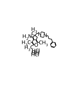 CC1=C(C)C2=C(N)C(C)(CN3CCN(CCCc4ccccc4)CC3)CC2=C(C)O1.Cl.Cl.Cl